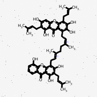 CC(C)=CCc1c(O)cc2oc3c(CC=C(C)C)c(O)c(O)c(C/C=C(/C)CC/C(C)=C/Cc4c(O)c(CC=C(C)C)c(O)c5c(=O)c6cccc(O)c6oc45)c3c(=O)c2c1O